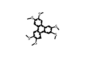 CSc1cc2c3cc(SC)c(SC)cc3c3cc(SC)c(SC)cc3c2cc1SC